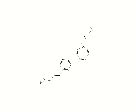 CC1(OCC2CO2)C=CC=C(Oc2cccc(COCC3CO3)c2)C=C1